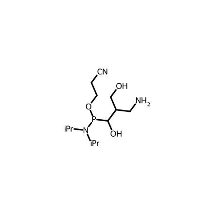 CC(C)N(C(C)C)P(OCCC#N)C(O)C(CN)CO